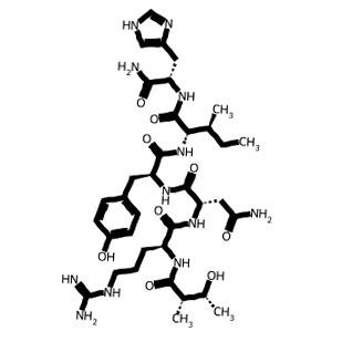 CC[C@H](C)[C@H](NC(=O)[C@H](Cc1ccc(O)cc1)NC(=O)[C@H](CC(N)=O)NC(=O)[C@H](CCCNC(=N)N)NC(=O)[C@@H](C)[C@@H](C)O)C(=O)N[C@@H](Cc1c[nH]cn1)C(N)=O